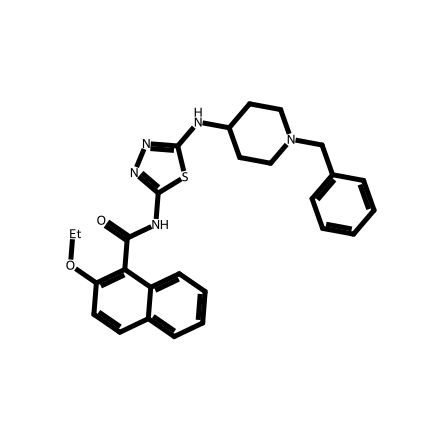 CCOc1ccc2ccccc2c1C(=O)Nc1nnc(NC2CCN(Cc3ccccc3)CC2)s1